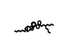 CCCCCCN1C=CC23CCCC2(C=Cc2c(OC(=O)CCC(CCCC)CCCC)cccc23)C1